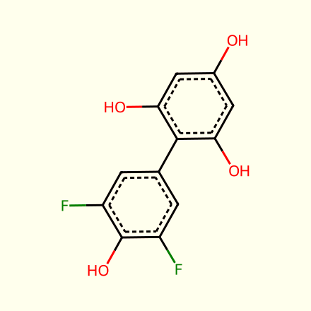 Oc1cc(O)c(-c2cc(F)c(O)c(F)c2)c(O)c1